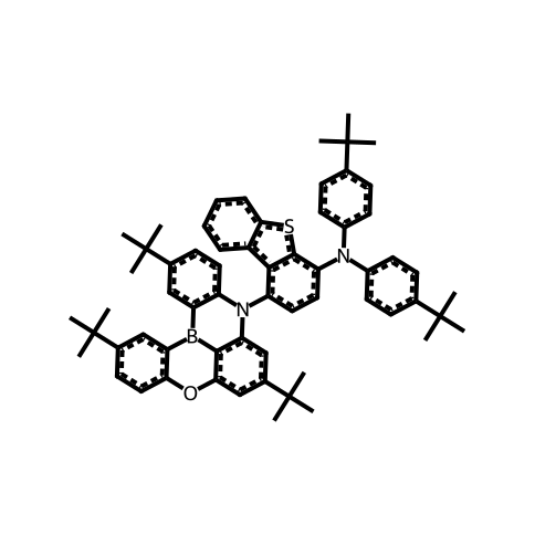 CC(C)(C)c1ccc(N(c2ccc(C(C)(C)C)cc2)c2ccc(N3c4ccc(C(C)(C)C)cc4B4c5cc(C(C)(C)C)ccc5Oc5cc(C(C)(C)C)cc3c54)c3c2sc2ccccc23)cc1